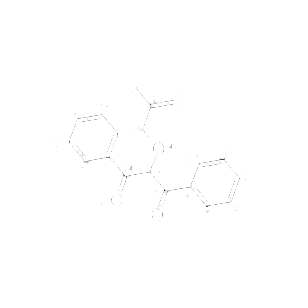 C=C(C)COC(C(=O)c1ccccc1)C(=O)c1ccccc1